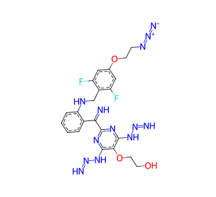 [N-]=[N+]=NCCOc1cc(F)c(CNc2ccccc2C(=N)c2nc(NN=N)c(OCCO)c(NN=N)n2)c(F)c1